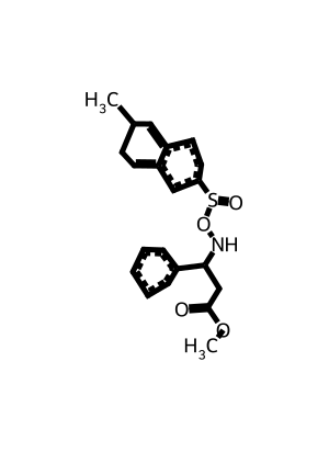 COC(=O)CC(NOS(=O)c1ccc2c(c1)=CCC(C)C=2)c1ccccc1